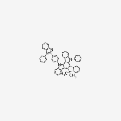 CC1(C)c2ccccc2-c2c1c1c3ccccc3n(-c3ccc(-c4nc5ccccc5n4-c4ccccc4)cc3)c1c1c3ccccc3n(-c3ccccc3)c21